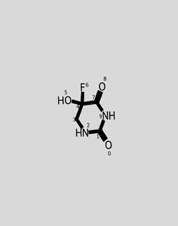 O=C1NCC(O)(F)C(=O)N1